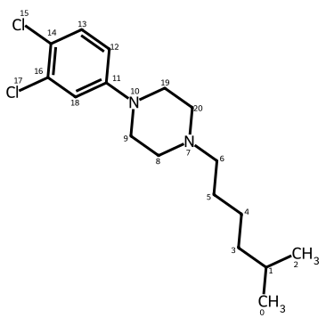 CC(C)CCCCN1CCN(c2ccc(Cl)c(Cl)c2)CC1